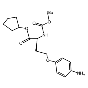 CC(C)(C)OC(=O)N[C@@H](CCOc1ccc(N)cc1)C(=O)OC1CCCC1